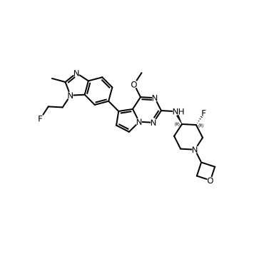 COc1nc(N[C@@H]2CCN(C3COC3)C[C@H]2F)nn2ccc(-c3ccc4nc(C)n(CCF)c4c3)c12